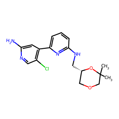 CC1(C)COC[C@H](CNc2cccc(-c3cc(N)ncc3Cl)n2)O1